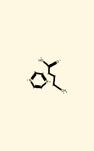 CCCCC(=O)O.c1cnccn1